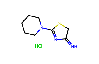 Cl.N=C1CSC(N2CCCCC2)=N1